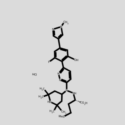 CSCC[C@H](NN(c1ccc(-c2c(O)cc(-c3cnn(C)c3)cc2F)nn1)C1CC(C)(C)NC(C)(C)C1)C(=O)O.Cl